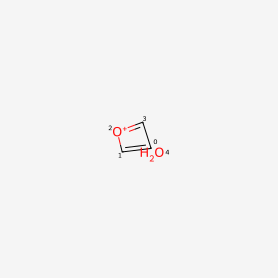 C1=C[O+]=C1.O